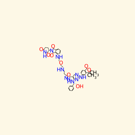 CC1(C)OC(=O)c2ccc(Nc3ncc(-c4nnc(CCNCCOCCNc5cccc6c5C(=O)N(C5CCC(=O)NC5=O)C6=O)o4)c(N[C@H](CO)c4ccccc4)n3)cc21